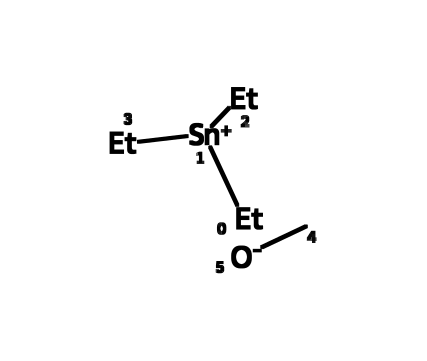 C[CH2][Sn+]([CH2]C)[CH2]C.C[O-]